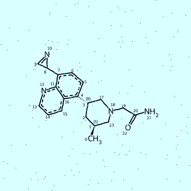 C[C@H]1C[C@H](c2ccc(C3C=N3)c3ncccc23)CN(CC(N)=O)C1